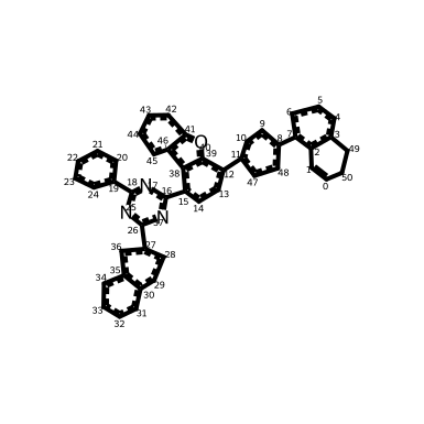 C1=Cc2c(cccc2-c2ccc(-c3ccc(-c4nc(-c5ccccc5)nc(-c5ccc6ccccc6c5)n4)c4c3oc3ccccc34)cc2)CC1